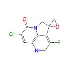 O=c1c(Cl)cc2ncc(F)c3c2n1CC31CO1